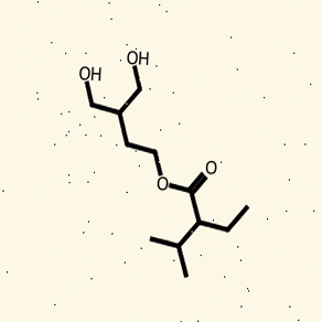 CCC(C(=O)OCCC(CO)CO)C(C)C